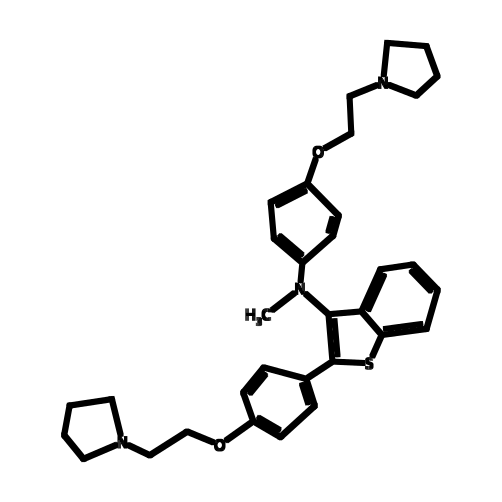 CN(c1ccc(OCCN2CCCC2)cc1)c1c(-c2ccc(OCCN3CCCC3)cc2)sc2ccccc12